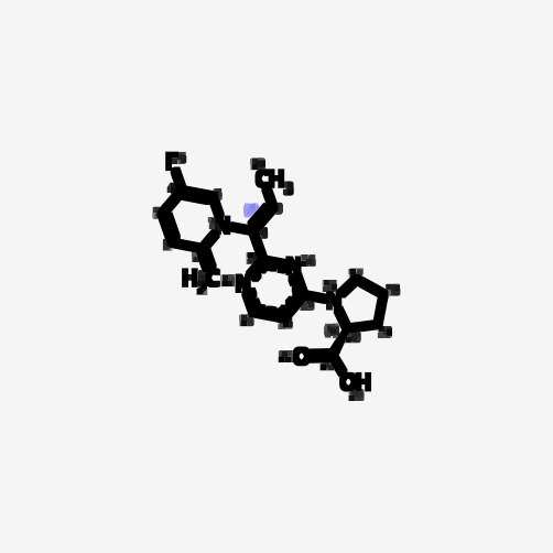 C=C1C=CC(F)=CN1/C(=C\C)c1nccc(N2CCC[C@H]2C(=O)O)n1